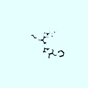 CCCON=C(C(=O)NC1C(=O)N2C(C(=O)[O-])=C(C[n+]3ccccc3)CS[C@@H]12)c1nsc(NP(=O)(O)O)n1